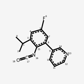 CC(C)c1cc(F)cc(-c2cccnc2)c1N=C=O